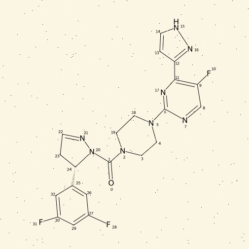 O=C(N1CCN(c2ncc(F)c(-c3cc[nH]n3)n2)CC1)N1N=CC[C@H]1c1cc(F)cc(F)c1